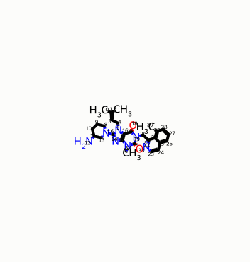 CC(C)=CCn1c(N2CCCC(N)C2)nc2c1c(=O)n(Cc1nccc3cccc(C)c13)c(=O)n2C